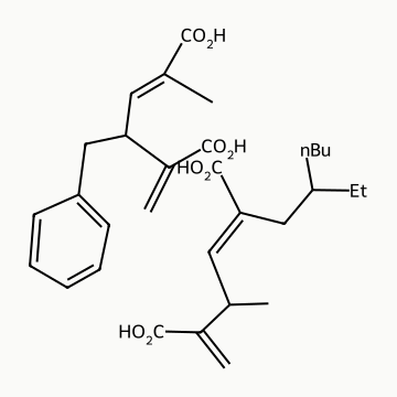 C=C(C(=O)O)C(C)C=C(CC(CC)CCCC)C(=O)O.C=C(C(=O)O)C(C=C(C)C(=O)O)Cc1ccccc1